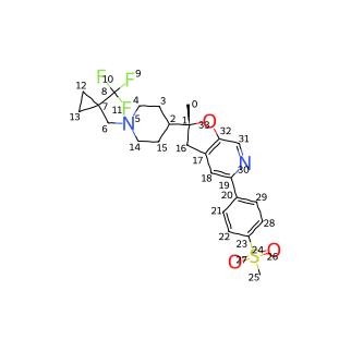 C[C@]1(C2CCN(CC3(C(F)(F)F)CC3)CC2)Cc2cc(-c3ccc(S(C)(=O)=O)cc3)ncc2O1